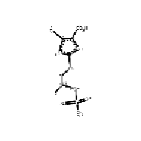 C[C@@H](COc1nc(C(=O)O)c(Cl)s1)NS(=O)(=O)C(F)(F)F